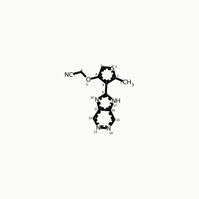 Cc1scc(OCC#N)c1-c1nc2cnncc2[nH]1